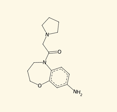 Nc1ccc2c(c1)OCCCN2C(=O)CN1CCCC1